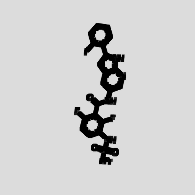 CCCS(=O)(=O)Nc1ccc(F)c(C(=O)Nc2cnc3[nH]c(-c4ccccc4I)cc3c2)c1F